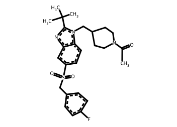 CC(=O)N1CCC(Cn2c(C(C)(C)C)nc3cc(S(=O)(=O)Cc4ccc(F)cc4)ccc32)CC1